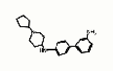 Nc1cccc(-c2ccc(NC3CCN(C4CCCC4)CC3)cc2)c1